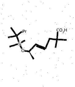 CC(C)C(C)(C)[Si](C)(C)O[C@H](C)C=CCC(C)(C)C(=O)O